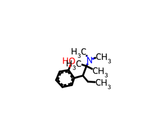 CCC(c1ccccc1O)C(C)(C)N(C)C